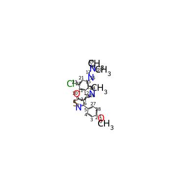 COc1ccc(-c2nsc(Oc3cc(C)c(N=CN(C)C)cc3Cl)c2C#N)cc1